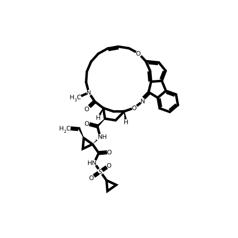 C=C[C@@H]1C[C@]1(NC(=O)[C@@H]1C[C@@H]2C[C@H]1C(=O)N(C)CCCC/C=C\COc1ccc3c(c1)/C(=N\O2)c1ccccc1-3)C(=O)NS(=O)(=O)C1CC1